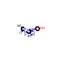 CC(C)Nc1cc(Nc2ncc(C#N)cc2Cl)ncc1C(=O)NC1CCC(O)CC1